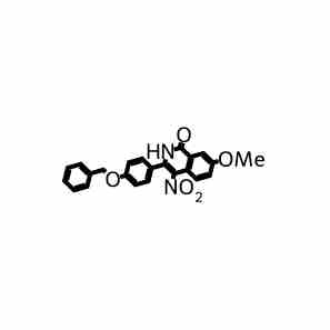 COc1ccc2c([N+](=O)[O-])c(-c3ccc(OCc4ccccc4)cc3)[nH]c(=O)c2c1